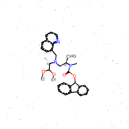 CCOC(OCC)[C@H](C)N(Cc1cccc2cccnc12)C[C@@H](C=O)N(C)C(=O)OC1c2ccccc2-c2ccccc21